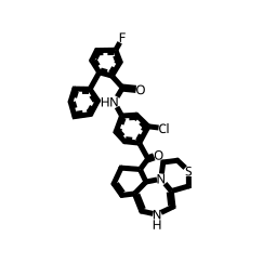 O=C(Nc1ccc(C(=O)C2CC=CC3=CNC=C4CSCCN4C32)c(Cl)c1)c1cc(F)ccc1-c1ccccc1